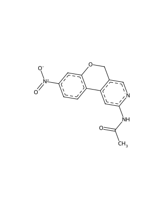 CC(=O)Nc1cc2c(cn1)COc1cc([N+](=O)[O-])ccc1-2